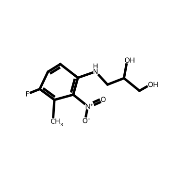 Cc1c(F)ccc(NCC(O)CO)c1[N+](=O)[O-]